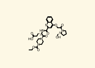 CCOC(=O)N1CCN(C(=O)[C@H](CCC(=O)O)NC(=O)c2cc(OCC(=O)N3CCC[C@@H]3CO)c3ccccc3n2)CC1